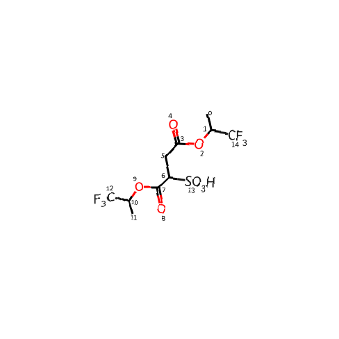 CC(OC(=O)CC(C(=O)OC(C)C(F)(F)F)S(=O)(=O)O)C(F)(F)F